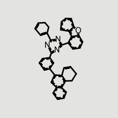 C1=CCCC(c2nc(-c3cccc(-c4cc5ccccc5c5c4C=CCC5)c3)nc(-c3cccc4oc5ccccc5c34)n2)=C1